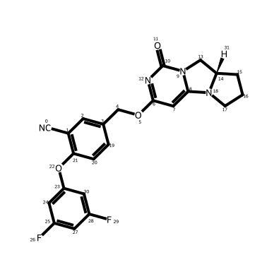 N#Cc1cc(COc2cc3n(c(=O)n2)C[C@@H]2CCCN32)ccc1Oc1cc(F)cc(F)c1